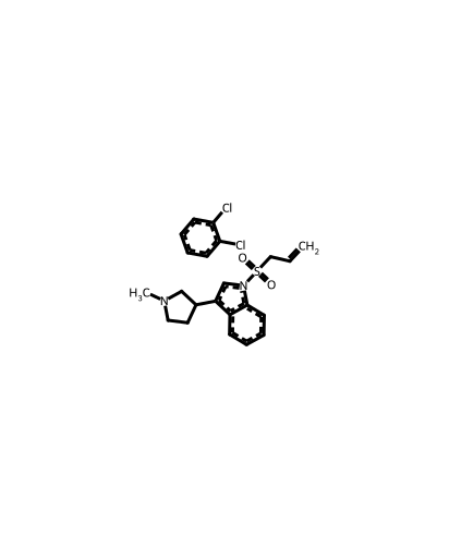 C=CCS(=O)(=O)n1cc(C2CCN(C)C2)c2ccccc21.Clc1ccccc1Cl